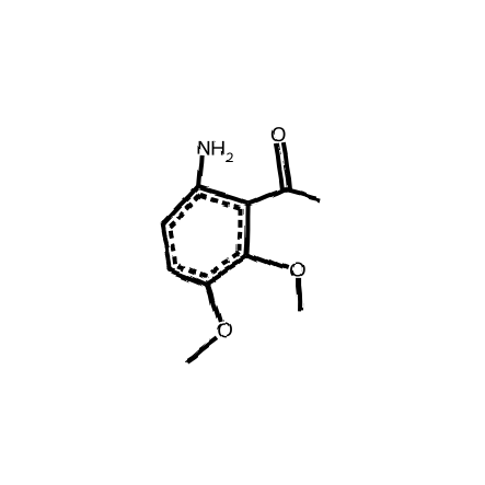 COc1ccc(N)c(C(C)=O)c1OC